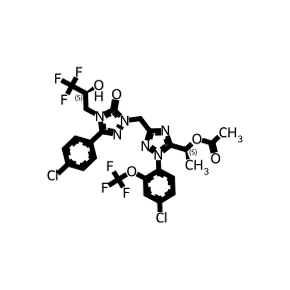 CC(=O)O[C@@H](C)c1nc(Cn2nc(-c3ccc(Cl)cc3)n(C[C@H](O)C(F)(F)F)c2=O)nn1-c1ccc(Cl)cc1OC(F)(F)F